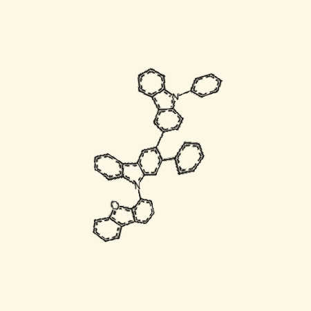 c1ccc(-c2cc3c(cc2-c2ccc4c(c2)c2ccccc2n4-c2ccccc2)c2ccccc2n3-c2cccc3c2oc2ccccc23)cc1